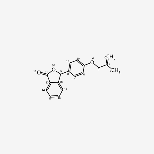 C=C(C)COc1ccc(C2OC(=O)c3ccccc32)cc1